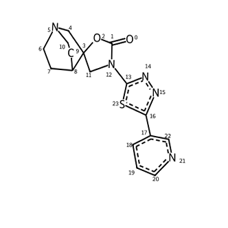 O=C1OC2(CN3CCC2CC3)CN1c1nnc(-c2cccnc2)s1